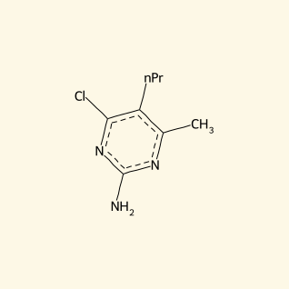 CCCc1c(C)nc(N)nc1Cl